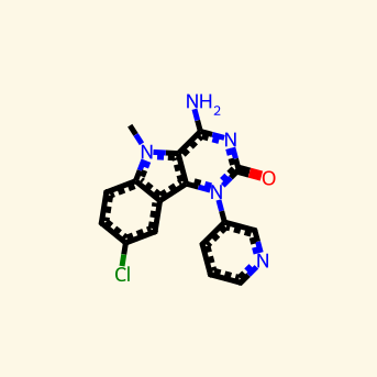 Cn1c2ccc(Cl)cc2c2c1c(N)nc(=O)n2-c1cccnc1